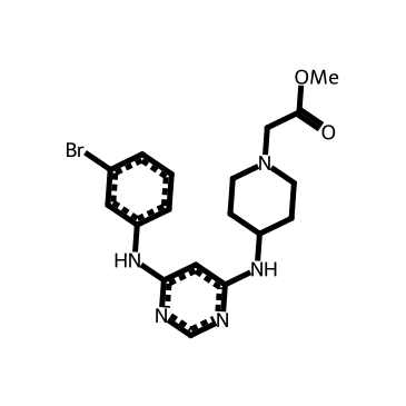 COC(=O)CN1CCC(Nc2cc(Nc3cccc(Br)c3)ncn2)CC1